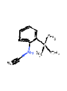 C#CNc1ccccc1[Si](C)(C)C